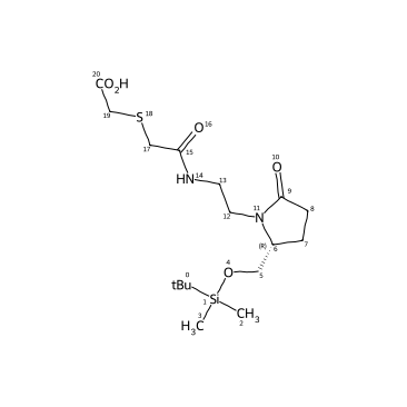 CC(C)(C)[Si](C)(C)OC[C@H]1CCC(=O)N1CCNC(=O)CSCC(=O)O